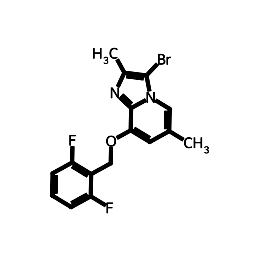 Cc1cc(OCc2c(F)cccc2F)c2nc(C)c(Br)n2c1